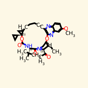 CC[C@@H]1[C@@H]2CN(C(=O)[C@H](C(C)(C)C)NC(=O)O[C@]3(C4CC4)C[C@H]3CCCCCc3nc4ccc(OC)cc4nc3O2)[C@@H]1C(C)=O